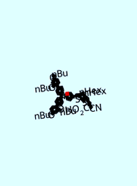 CCCCCCC1(CCCCCC)c2cc(C=C(C#N)C(=O)O)sc2-c2sc(-c3ccc(N(c4ccc(-c5ccc(OCCCC)cc5OCCCC)cc4)c4ccc(-c5ccc(OCCCC)cc5OCCCC)cc4)cc3)cc21